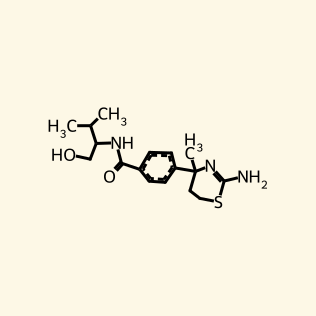 CC(C)C(CO)NC(=O)c1ccc(C2(C)CCSC(N)=N2)cc1